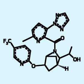 Cc1ccc(-n2nccn2)c(C(=O)N2C3C[C@H](CC3Oc3ccc(C(F)(F)F)cn3)C2C(C)O)n1